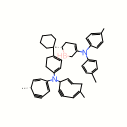 C/C1=C/C#CC(N(C2=CC#C[C@H](C)C=C2)C2=CC=C(C3([C@H]4BCC(N(c5ccc(C)cc5)c5ccc(C)cc5)=CC4)CCCCC3)CC2)/C=C/C1